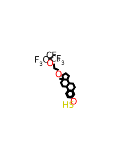 CC12CCC3c4ccc(OS)cc4CCC3C1CCC2OCCCOC(C(F)(F)F)(C(F)(F)F)C(F)(F)F